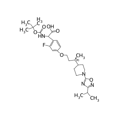 CC(C)c1noc(N2CCC([C@H](C)CCOc3ccc(C(NC(=O)OC(C)(C)C)C(=O)O)c(F)c3)CC2)n1